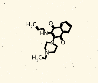 C=CCNC1=C(N2CCN(CC)CC2)C(=O)c2ccccc2C1=O